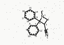 CN1CC(C#N)C1(c1ccccc1)c1ccccc1